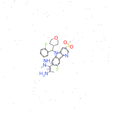 C/C(N)=C(\c1cc2c(cc1F)c1ncc(S(C)(=O)=O)cc1n2C(c1ccccc1F)C1CCOCC1)N(C)N